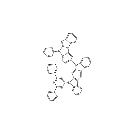 c1ccc(-c2nc(-c3ccccc3)nc(-n3c4ccccc4c4cc5c6ccccc6n(-c6ccc7c(c6)n6c8ccccc8cc6n7-c6ccccc6)c5cc43)n2)cc1